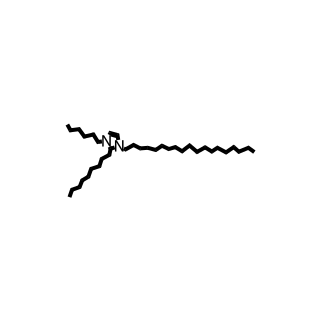 CCCCCCCCCCCCCCCCCCCN1C=CN(CCCCCC)C1CCCCCCCCC